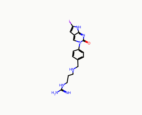 N=C(N)NCCCNCc1ccc(-n2cc3cc(I)[nH]c3nc2=O)cc1